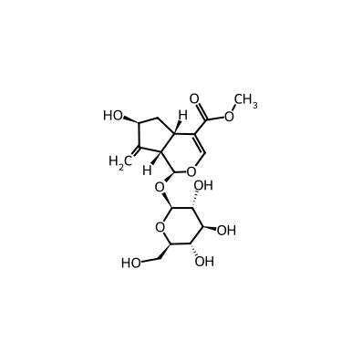 C=C1[C@H]2[C@H](O[C@@H]3O[C@H](CO)[C@@H](O)[C@H](O)[C@H]3O)OC=C(C(=O)OC)[C@H]2C[C@@H]1O